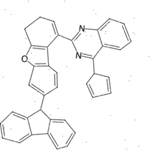 C1=CC(c2nc(C3=CCCc4oc5cc(C6c7ccccc7-c7ccccc76)ccc5c43)nc3ccccc23)C=C1